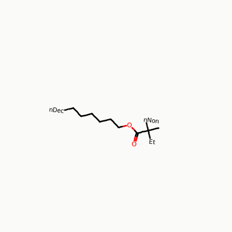 CCCCCCCCCCCCCCCCOC(=O)C(C)(CC)CCCCCCCCC